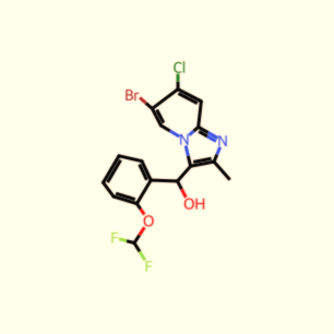 Cc1nc2cc(Cl)c(Br)cn2c1C(O)c1ccccc1OC(F)F